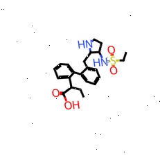 CCC(C(=O)O)c1ccccc1-c1ccccc1CC1NCCC1NS(=O)(=O)CC